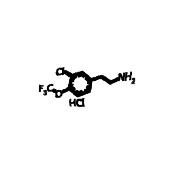 Cl.NCCc1ccc(OC(F)(F)F)c(Cl)c1